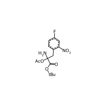 CC(=O)OC(N)(Cc1ccc(F)cc1[N+](=O)[O-])C(=O)OC(C)(C)C